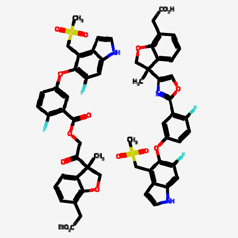 CC1(c2coc(-c3cc(Oc4c(F)cc5[nH]ccc5c4CS(C)(=O)=O)ccc3F)n2)COc2c(CC(=O)O)cccc21.CCOC(=O)Cc1cccc2c1OCC2(C)C(=O)COC(=O)c1cc(Oc2c(F)cc3[nH]ccc3c2CS(C)(=O)=O)ccc1F